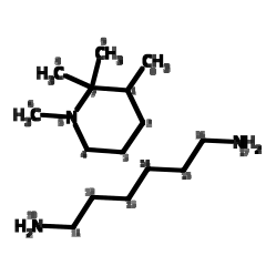 CC1CCCN(C)C1(C)C.NCCCCCCN